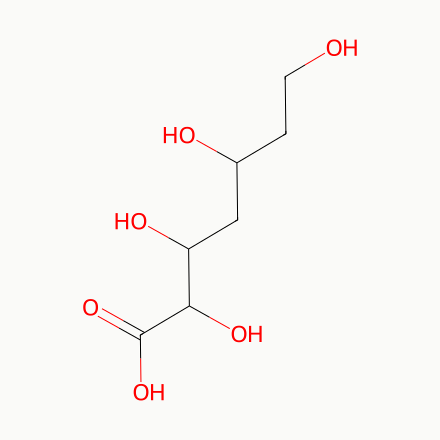 O=C(O)C(O)C(O)CC(O)CCO